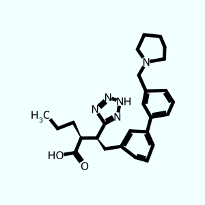 CCC[C@H](C(=O)O)[C@H](Cc1cccc(-c2cccc(CN3CCCCC3)c2)c1)c1nn[nH]n1